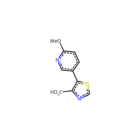 COc1ccc(-c2scnc2C(=O)O)cn1